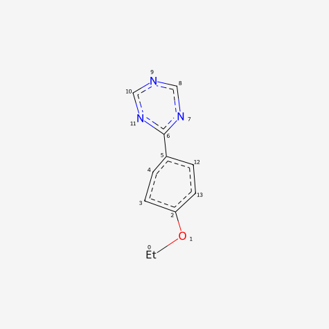 CCOc1ccc(-c2ncncn2)cc1